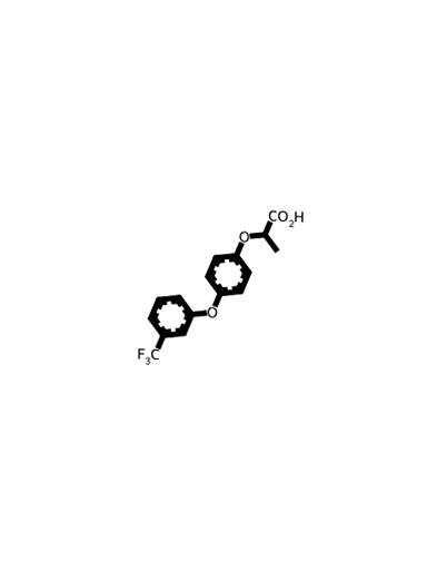 CC(Oc1ccc(Oc2cccc(C(F)(F)F)c2)cc1)C(=O)O